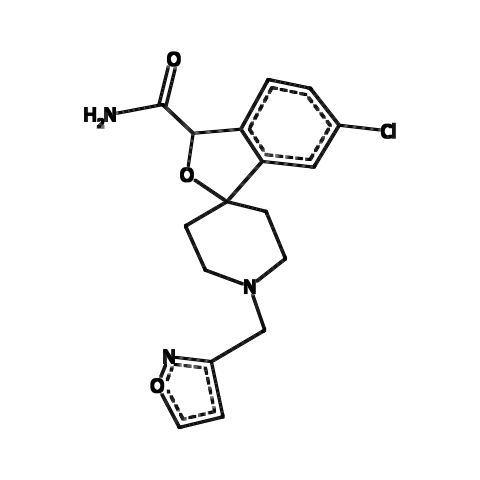 NC(=O)C1OC2(CCN(Cc3ccon3)CC2)c2cc(Cl)ccc21